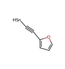 [SnH][C]#Cc1ccco1